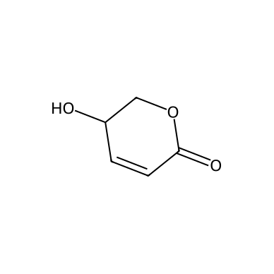 O=C1C=CC(O)CO1